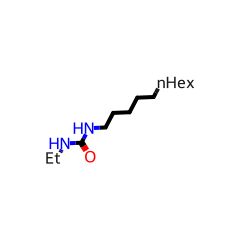 CCCCCCCCCCCNC(=O)NCC